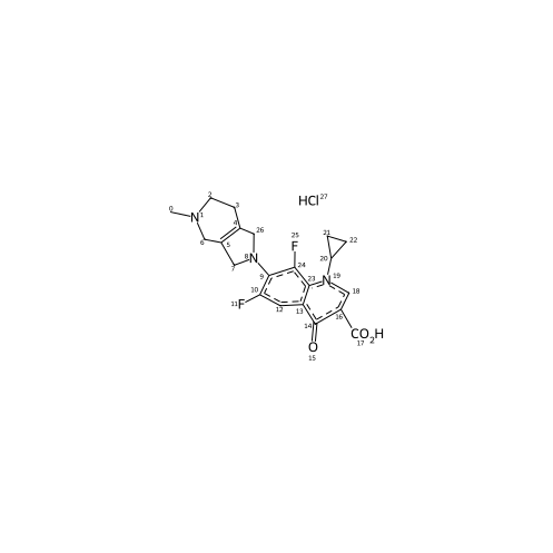 CN1CCC2=C(C1)CN(c1c(F)cc3c(=O)c(C(=O)O)cn(C4CC4)c3c1F)C2.Cl